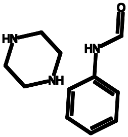 C1CNCCN1.O=CNc1ccccc1